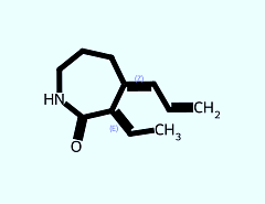 C=C/C=C1/CCCNC(=O)/C1=C/C